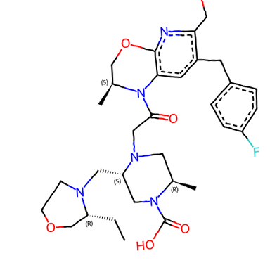 CC[C@@H]1COCCN1C[C@H]1CN(C(=O)O)[C@H](C)CN1CC(=O)N1c2cc(Cc3ccc(F)cc3)c(CO)nc2OC[C@@H]1C